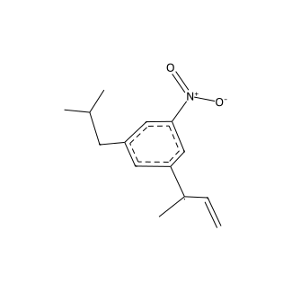 C=C[C](C)c1cc(CC(C)C)cc([N+](=O)[O-])c1